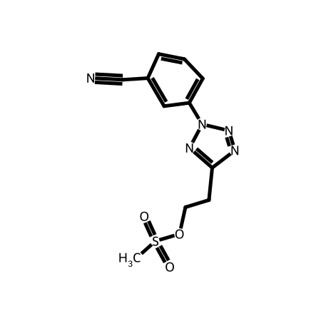 CS(=O)(=O)OCCc1nnn(-c2cccc(C#N)c2)n1